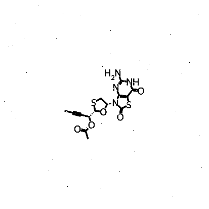 CC#CC(OC(C)=O)[C@H]1O[C@@H](n2c(=O)sc3c(=O)[nH]c(N)nc32)CS1